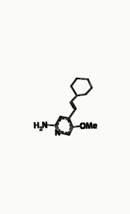 COc1cnc(N)cc1/C=C/C1CCCCC1